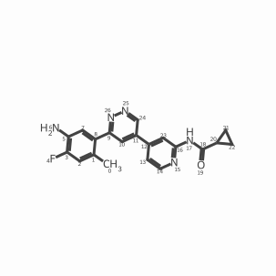 Cc1cc(F)c(N)cc1-c1cc(-c2ccnc(NC(=O)C3CC3)c2)cnn1